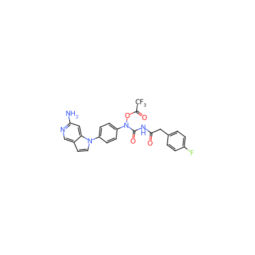 Nc1cc2c(ccn2-c2ccc(N(OC(=O)C(F)(F)F)C(=O)NC(=O)Cc3ccc(F)cc3)cc2)cn1